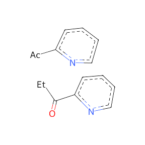 CC(=O)c1ccccn1.CCC(=O)c1ccccn1